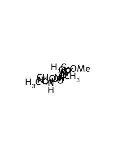 COc1cc(C)c(S(=O)(=O)Cc2noc(CC(=O)NC3CCC(N(C)C)CC3)n2)c(C)c1